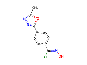 Cc1nnc(-c2ccc(/C(Cl)=N/O)c(F)c2)o1